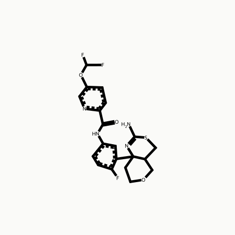 NC1=NC2(c3cc(NC(=O)c4ccc(OC(F)F)cn4)ccc3F)CCOCC2CS1